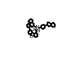 c1ccc(-c2ccc3oc4cccc(-c5nc(-c6ccc(-c7ccc8ccccc8c7)cc6)nc(-c6ccc7ccccc7c6)n5)c4c3c2)cc1